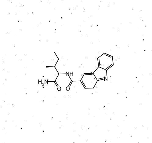 CC[C@H](C)C(NC(=O)C1=CCC2=Nc3ccccc3C2=C1)C(N)=O